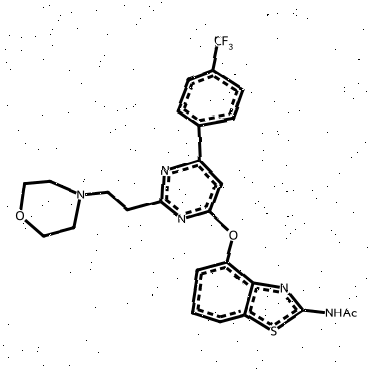 CC(=O)Nc1nc2c(Oc3cc(-c4ccc(C(F)(F)F)cc4)nc(CCN4CCOCC4)n3)cccc2s1